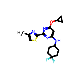 Cc1csc(-c2nc(NC3CCC(F)(F)CC3)cc(OC3CC3)n2)n1